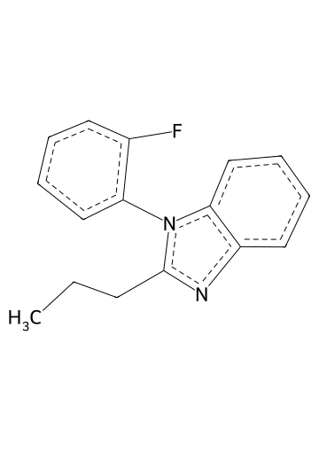 CCCc1nc2ccccc2n1-c1ccccc1F